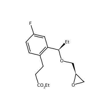 CCOC(=O)CCc1ccc(F)cc1[C@@H](CC)OC[C@H]1CO1